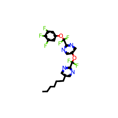 CCCCCCc1cnc(C(F)(F)Oc2cnc(C(F)(F)Oc3cc(F)c(F)c(F)c3)nc2)nc1